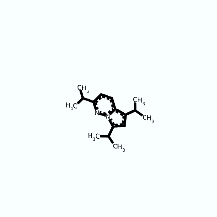 CC(C)c1ccc2c(C(C)C)cc(C(C)C)n2n1